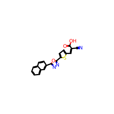 N#C/C(=C/c1ccc(-c2nnc(-c3ccc4ccccc4c3)o2)s1)C(=O)O